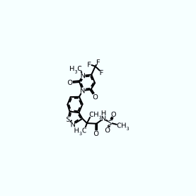 Cn1c(C(F)(F)F)cc(=O)n(-c2ccc3snc(C(C)(C)C(=O)NS(C)(=O)=O)c3c2)c1=O